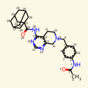 CC(=O)Nc1ccc(CN2CCc3c(ncnc3NC(=O)C34CC5CC(CC(C5)C3)C4)C2)cc1